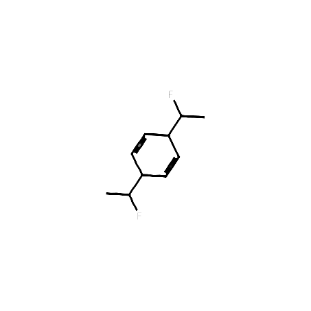 CC(F)C1C=CC(C(C)F)C=C1